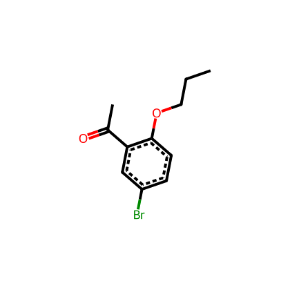 CCCOc1ccc(Br)cc1C(C)=O